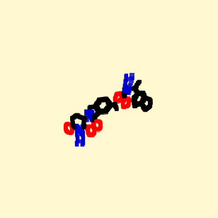 CC(NC(=O)OC(C)c1ccc2c(c1)C(=O)N(C1CCC(=O)NC1=O)C2)c1ccc2c(c1)CCC2